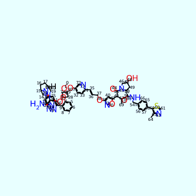 COCOc1ccccc1-c1cc(N2CC3CC[C@H](C2)N3c2ccnc(OC3CC(Oc4ccc(C=CCOc5cc(C(C(=O)N6C[C@H](O)C[C@H]6C(=O)NCc6ccc(-c7scnc7C)cc6)C(C)C)on5)nc4)C3)c2)c(N)nn1